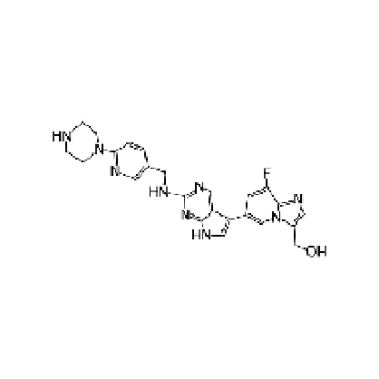 OCc1cnc2c(F)cc(-c3c[nH]c4nc(NCc5ccc(N6CCNCC6)nc5)ncc34)cn12